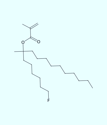 C=C(C)C(=O)OC(C)(CCCCCCF)CCCCCCCCCC